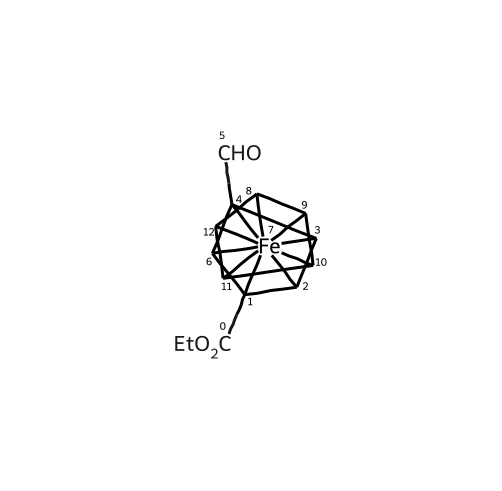 CCOC(=O)[C]12[CH]3[CH]4[C]5(C=O)[CH]1[Fe]43521678[CH]2[CH]1[CH]6[CH]7[CH]28